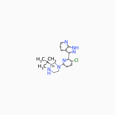 CC(C)(C)[C@H]1CN(c2ccc(Cl)c(-c3n[nH]c4ncccc34)n2)CCN1